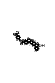 O=C(NCc1ccc([N+](=O)[O-])cc1)c1ccc2c(c1)CCCN2Cc1cc(-c2ccccc2C(=O)O)ccc1F